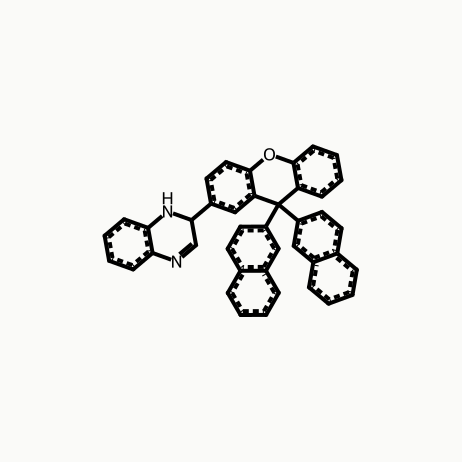 C1=Nc2ccccc2NC1c1ccc2c(c1)C(c1ccc3ccccc3c1)(c1ccc3ccccc3c1)c1ccccc1O2